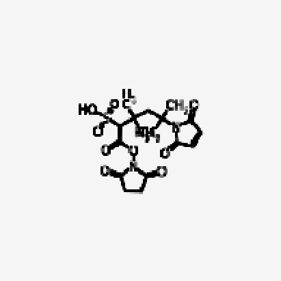 CC(C)(CC(C)(C)N1C(=O)C=CC1=O)C(C(=O)ON1C(=O)CCC1=O)S(=O)(=O)O